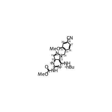 CCCCNc1nc(NC(=O)OC)nc2cnn(Cc3ccc(C#N)cc3OC)c12